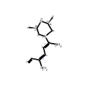 C=C/C(N)=C\C=C(/N)N1C[C@@H](C)O[C@@H](C)C1